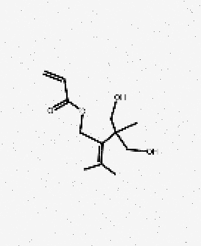 C=CC(=O)OCC(=C(C)C)C(C)(CO)CO